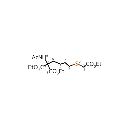 CCOC(=O)CSCCCCC(NC(C)=O)(C(=O)OCC)C(=O)OCC